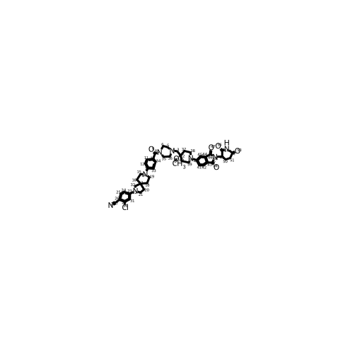 COC1(CN2CCN(C(=O)c3ccc(N4CCC5(CC4)CCN(c4ccc(C#N)c(Cl)c4)C5)cc3)CC2)CCN(c2ccc3c(c2)C(=O)N(C2CCC(=O)NC2=O)C3=O)CC1